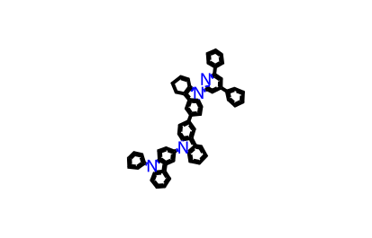 C1=Cc2c(c3cc(-c4ccc5c(c4)c4ccccc4n5-c4ccc5c(c4)c4ccccc4n5-c4ccccc4)ccc3n2-c2cc(-c3ccccc3)cc(-c3ccccc3)n2)CC1